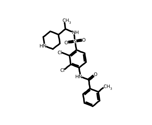 Cc1ccccc1C(=O)Nc1ccc(S(=O)(=O)NC(C)C2CCNCC2)c(Cl)c1Cl